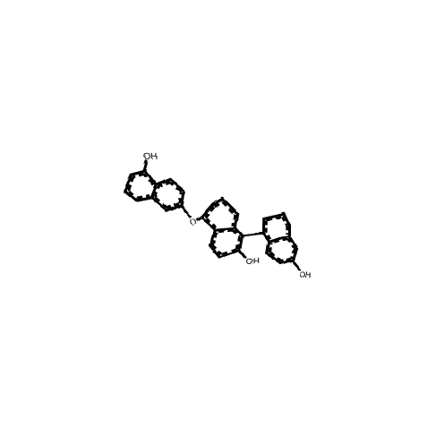 Oc1ccc2c(-c3c(O)ccc4c(Oc5ccc6c(O)cccc6c5)cccc34)cccc2c1